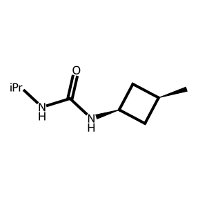 CC(C)NC(=O)N[C@H]1C[C@@H](C)C1